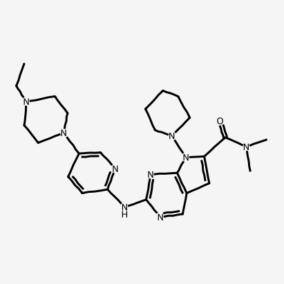 CCN1CCN(c2ccc(Nc3ncc4cc(C(=O)N(C)C)n(N5CCCCC5)c4n3)nc2)CC1